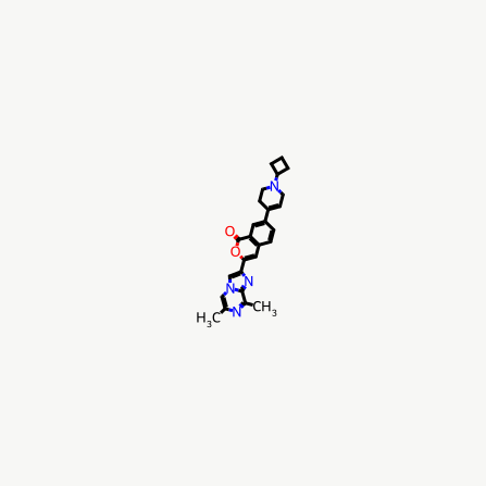 Cc1cn2cc(-c3cc4ccc(C5=CCN(C6CCC6)CC5)cc4c(=O)o3)nc2c(C)n1